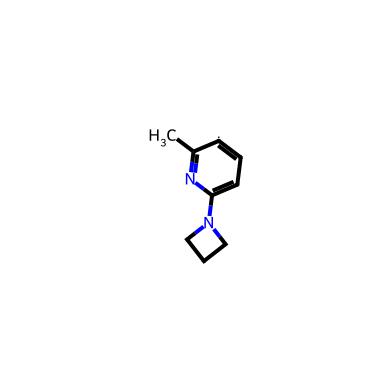 Cc1[c]ccc(N2CCC2)n1